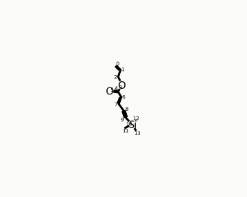 C=CCOC(=O)/C=C/C#C[Si](C)(C)C